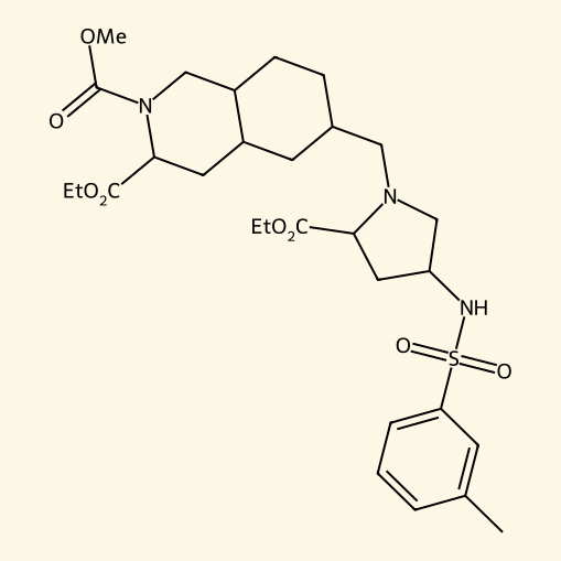 CCOC(=O)C1CC(NS(=O)(=O)c2cccc(C)c2)CN1CC1CCC2CN(C(=O)OC)C(C(=O)OCC)CC2C1